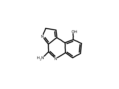 Nc1nc2cccc(O)c2c2c1=NCC=2